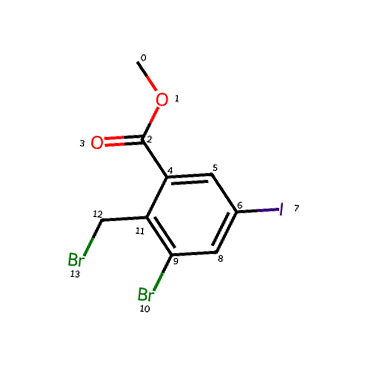 COC(=O)c1cc(I)cc(Br)c1CBr